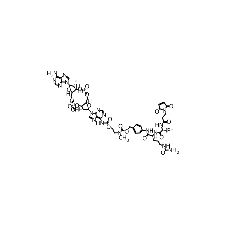 CC(C)[C@H](NC(=O)CCN1C(=O)C=CC1=O)C(=O)N[C@@H](CCCNC(N)=O)C(=O)Nc1ccc(COC(=O)N(C)CCOC(=O)Nc2ncnc3c2ncn3[C@H]2C[C@@H]3OP(=O)(O)OC[C@H]4O[C@@H](n5cnc6c(N)ncnc65)[C@H](F)[C@@H]4O[PH](=O)OC[C@H]3O2)cc1